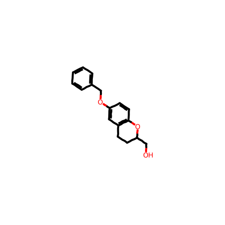 OCC1CCc2cc(OCc3ccccc3)ccc2O1